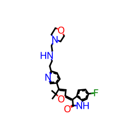 CC1(C)OC(=C2C(=O)Nc3cc(F)ccc32)C=C1c1ccc(CCNCCN2CCOCC2)nc1